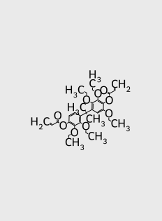 C=CC(=O)Oc1ccc(C(C)(C)c2cc(OCC)c(OC(=O)C=C)c(OCC)c2OCC)c(OCC)c1OCC